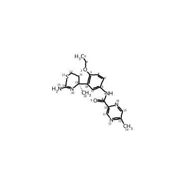 CCOc1ccc(NC(=O)c2cnc(C)cn2)cc1[C@]1(C)CCSC(N)=N1